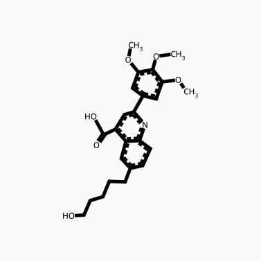 COc1cc(-c2cc(C(=O)O)c3cc(CCCCCO)ccc3n2)cc(OC)c1OC